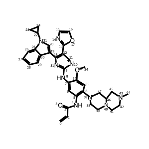 C=CC(=O)Nc1cc(Nc2ncc(-c3ncco3)c(-c3cn(C4CC4)c4ccccc34)n2)c(OC)cc1N1CCN2CCN(C)CC2C1